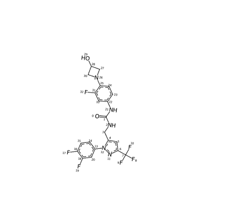 O=C(NCc1cc(C(F)(F)F)nn1-c1ccc(F)c(F)c1)Nc1ccc(N2CC(O)C2)c(F)c1